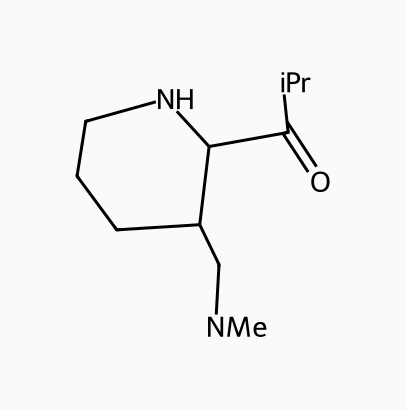 CNCC1CCCNC1C(=O)C(C)C